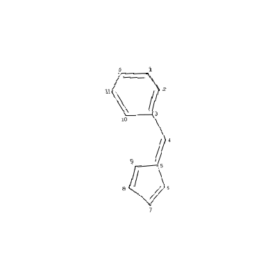 [c]1ccc(C=C2C=CC=C2)cc1